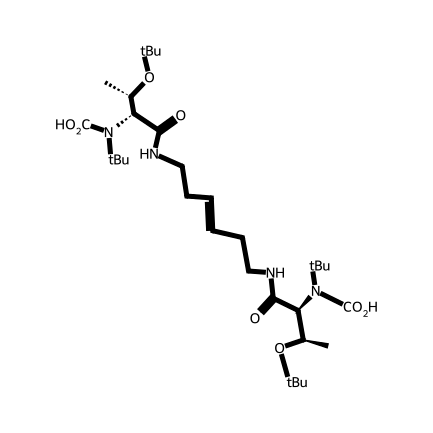 C[C@H](OC(C)(C)C)[C@H](C(=O)NCC/C=C/CCNC(=O)[C@H]([C@@H](C)OC(C)(C)C)N(C(=O)O)C(C)(C)C)N(C(=O)O)C(C)(C)C